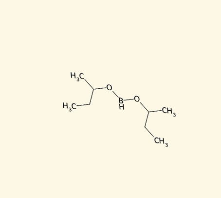 CCC(C)OBOC(C)CC